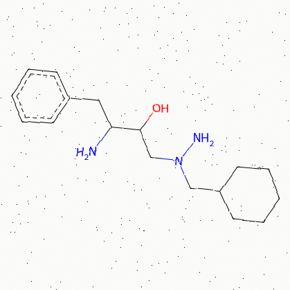 NC(Cc1ccccc1)C(O)CN(N)CC1CCCCC1